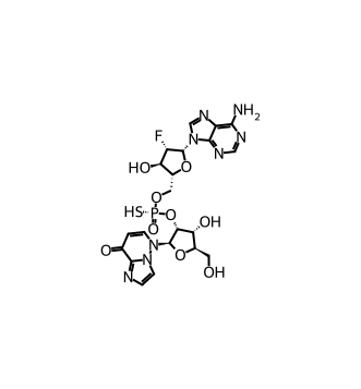 Nc1ncnc2c1ncn2[C@@H]1O[C@H](CO[P@@](=O)(S)O[C@@H]2[C@H](O)[C@@H](CO)O[C@H]2n2ccc(=O)c3nccn32)[C@@H](O)[C@@H]1F